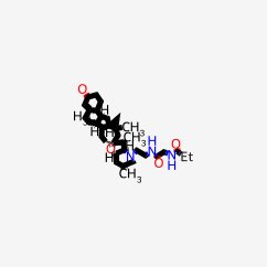 CCC(=O)NCC(=O)NCCN1C[C@@H](C)C[C@H]2O[C@]3(CC[C@H]4[C@@H]5CCC6=CC(=O)CC[C@]6(C)[C@H]5CC45CC5(C)C3)[C@H](C)[C@@H]21